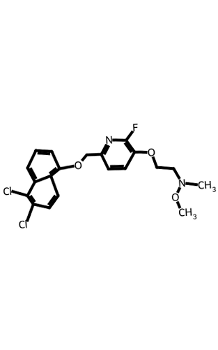 CON(C)CCOc1ccc(COc2cccc3c(Cl)c(Cl)ccc23)nc1F